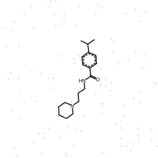 CC(C)c1ccc(C(=O)NCCCN2CCCCC2)cc1